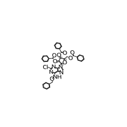 O=C(OC[C@H]1O[C@@H](n2cnc3c(NOCc4ccccc4)nc(Cl)nc32)[C@H](OC(=O)c2ccccc2)[C@@H]1OC(=O)c1ccccc1)c1ccccc1